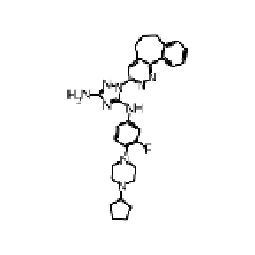 Nc1nc(Nc2ccc(N3CCN(C4CCCC4)CC3)c(F)c2)n(-c2cc3c(nn2)-c2ccccc2CCC3)n1